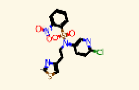 O=[N+]([O-])c1ccccc1S(=O)(=O)N(CCc1cs[c]n1)c1ccc(Cl)nc1